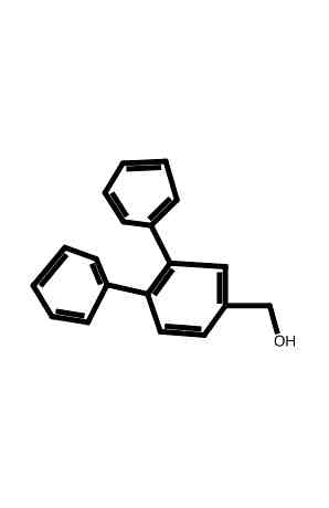 OCc1ccc(-c2ccccc2)c(-c2ccccc2)c1